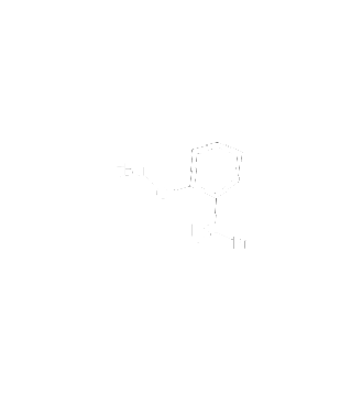 CC(C)(C)Oc1ccccc1[SiH2]Br